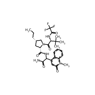 CCC[C@H]1C[C@@H](C(=O)NC(C(N)=O)c2cc(=O)n(C)c3ccccc23)N(C(=O)[C@@H](NC(=O)C(F)(F)F)C(C)(C)C)C1